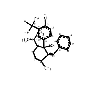 CC1CCC(N(C)C)C(O)(c2ccc(Cl)c(C(F)(F)F)c2)C1=Cc1ccccc1